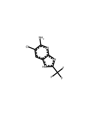 Nc1nc2nc(C(F)(F)F)[nH]c2cc1Cl